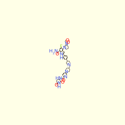 NC(=O)c1cc(F)c(N2CCCC(N3CCOO3)C2)c2cc(-c3ccc(C4CCN(CC5CCN(c6ccc(C(=O)NC7CCC(=O)NC7=O)nc6)CC5)CC4)cc3)[nH]c12